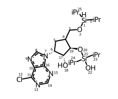 CC(C)[SiH](OCC1C[C@@H](n2cnc3c(Cl)ncnc32)[C@@H](O)[C@@H]1O[Si](O)(C(C)C)C(C)C)C(C)C